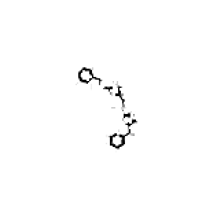 c1ccc(CNc2ncc(CNc3ncc(Cc4ccccc4)s3)s2)cc1